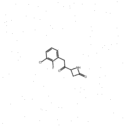 O=C1CC(C(=O)Cc2cccc(Cl)c2F)N1